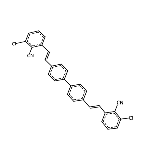 N#Cc1c(Cl)cccc1C=Cc1ccc(-c2ccc(C=Cc3cccc(Cl)c3C#N)cc2)cc1